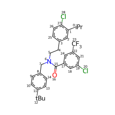 CC(C)c1cc(CCN(Cc2ccc(C(C)(C)C)cc2)C(=O)c2cc(Cl)cc(C(F)(F)F)c2)ccc1Cl